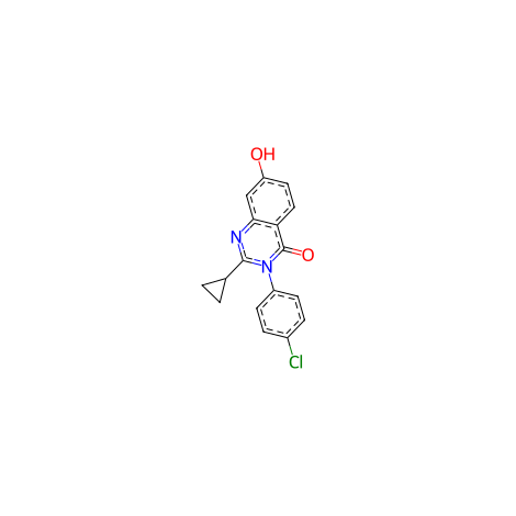 O=c1c2ccc(O)cc2nc(C2CC2)n1-c1ccc(Cl)cc1